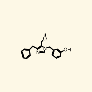 COCc1c(Cc2ccccc2)ncn1Cc1cccc(O)c1